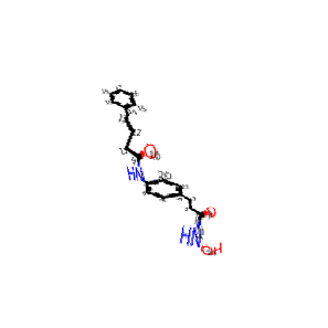 O=C(CCc1ccc(NC(=O)CCCc2ccccc2)cc1)NO